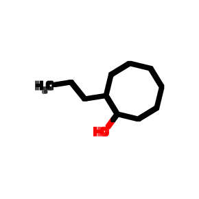 CCCC1CCCCCCC1O